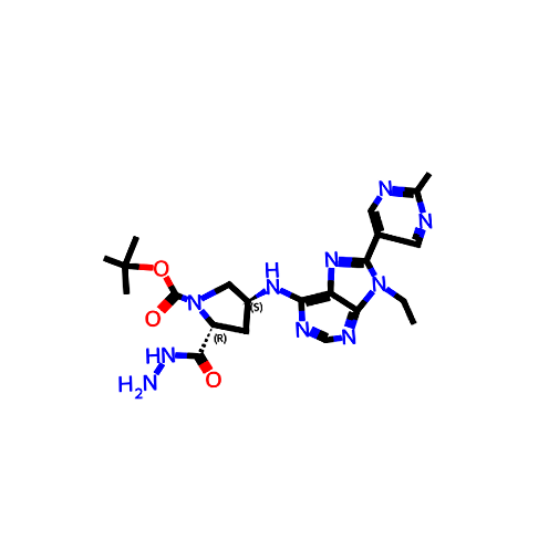 CCn1c(-c2cnc(C)nc2)nc2c(N[C@H]3C[C@H](C(=O)NN)N(C(=O)OC(C)(C)C)C3)ncnc21